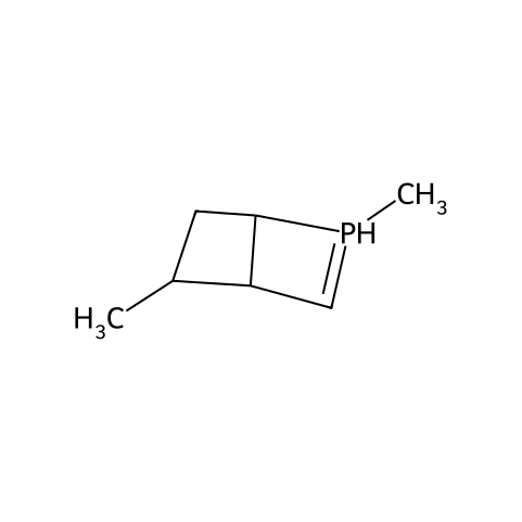 CC1CC2C1C=[PH]2C